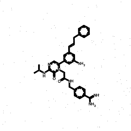 CC(C)Nc1ncc(-c2cc(N)cc(/C=C/Cc3ccccc3)c2)n(CC(=O)NCc2ccc(C(=N)N)cc2)c1=O